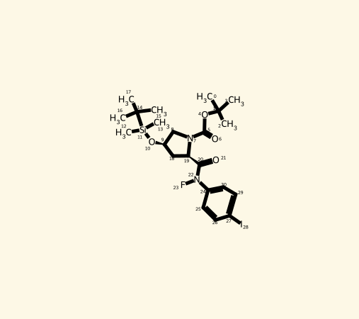 CC(C)(C)OC(=O)N1C[C@H](O[Si](C)(C)C(C)(C)C)C[C@@H]1C(=O)N(F)c1ccc(I)cc1